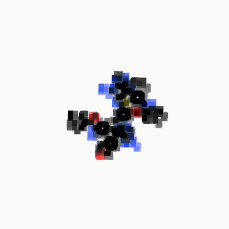 C=C(C)C(=O)Nc1ccc(-c2c(-c3ccc4c(c3)CCOC4)c3c(N)ncnc3n2Cc2cccc(-c3ncc(-c4c(-c5ccc(NC(O)C(=C)C)cc5)n(C)c5ncnc(N)c45)s3)c2)cc1